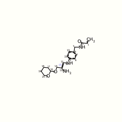 C=CC(=O)NCc1ccc(N/C=C(\N)COC2CCCCO2)cc1